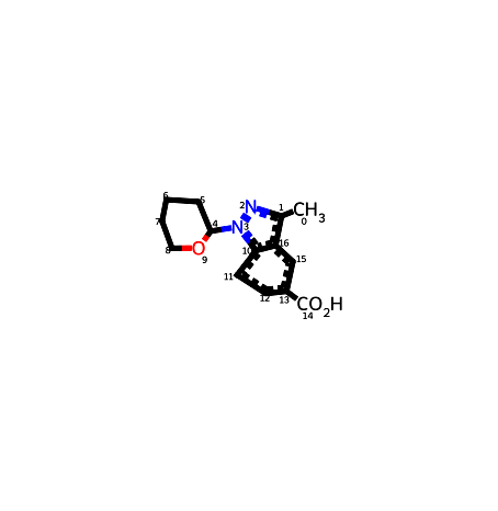 Cc1nn(C2CCCCO2)c2ccc(C(=O)O)cc12